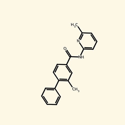 Cc1cccc(NC(=O)c2ccc(-c3ccccc3)c(C)c2)n1